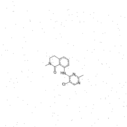 Cc1ncc(Cl)c(Nc2cccc3c2C(=O)N(C)CC3)n1